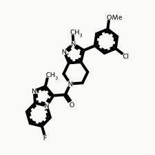 COc1cc(Cl)cc(-c2c3c(nn2C)CN(C(=O)c2c(C)nc4ccc(F)cn24)CC3)c1